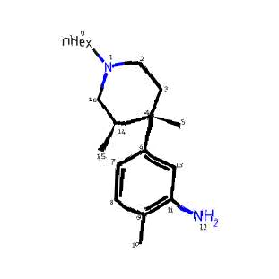 CCCCCCN1CC[C@](C)(c2ccc(C)c(N)c2)[C@@H](C)C1